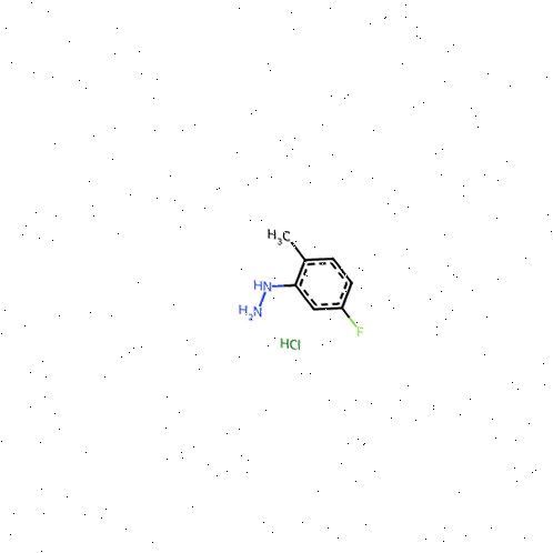 Cc1ccc(F)cc1NN.Cl